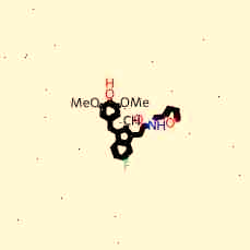 COc1cc(CC2c3ccc(F)cc3C(CC(=O)NCc3ccco3)C2C)cc(OC)c1O